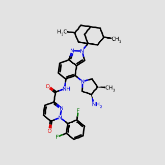 CC1CC2CC(C)CC(n3cc4c(N5C[C@@H](C)[C@@H](N)C5)c(NC(=O)c5ccc(=O)n(-c6c(F)cccc6F)n5)ccc4n3)(C1)C2